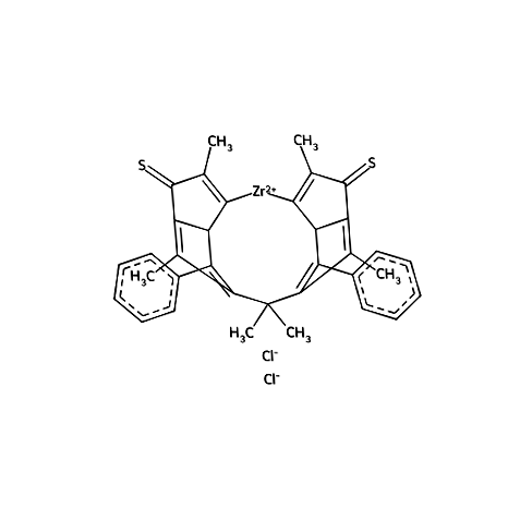 CC1=[C]2[Zr+2][C]3=C(C)C(=S)C4=C(C)C(=C(c5ccccc5)C34)C(C)(C)C3=C(c4ccccc4)C2C(=C3C)C1=S.[Cl-].[Cl-]